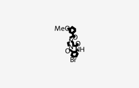 COc1cccc(C(=O)CN2CCN3C(=O)c4cc(Br)ccc4NC(=O)C3C2)c1